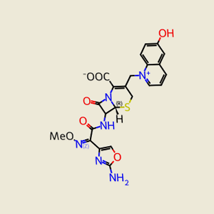 CO/N=C(\C(=O)NC1C(=O)N2C(C(=O)[O-])=C(C[n+]3cccc4cc(O)ccc43)CS[C@H]12)c1coc(N)n1